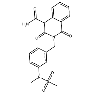 CN(c1cccc(CN2C(=O)c3ccccc3C(C(N)=O)C2=O)c1)S(C)(=O)=O